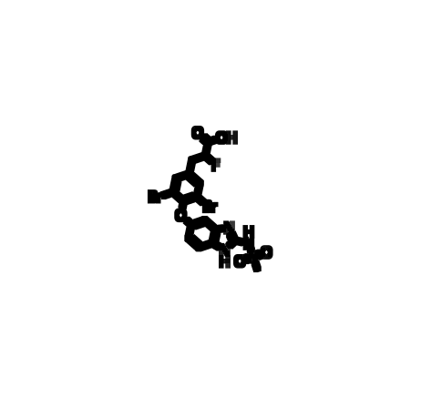 CS(=O)(=O)Nc1nc2cc(Oc3c(Br)cc(CC(F)C(=O)O)cc3Br)ccc2[nH]1